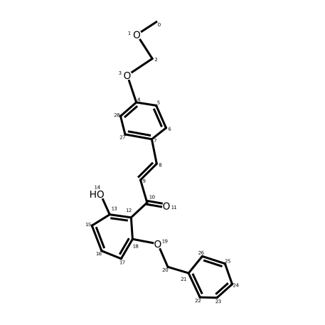 COCOc1ccc(/C=C/C(=O)c2c(O)cccc2OCc2ccccc2)cc1